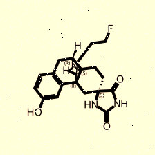 O=C1NC(=O)[C@@]2(CC[C@@]3(O)[C@H]4Cc5ccc(O)cc5[C@@]3(CCN4CCF)C2)N1